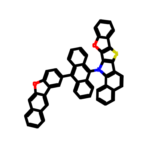 c1ccc2cc3c(cc2c1)oc1ccc(-c2c4ccccc4c(-n4c5c6ccccc6ccc5c5sc6c7ccccc7oc6c54)c4ccccc24)cc13